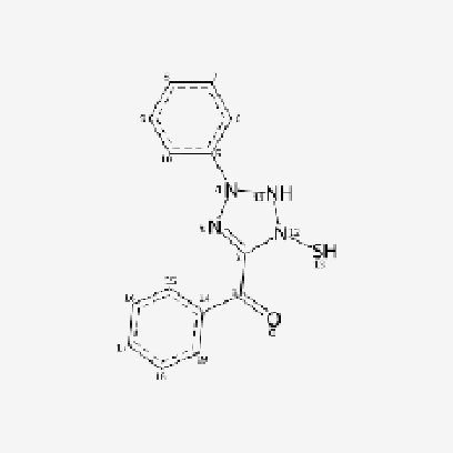 O=C(C1=NN(c2ccccc2)NN1S)c1ccccc1